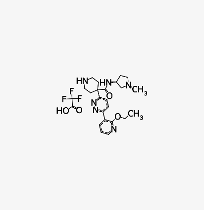 CCOc1ncccc1-c1ccc(C2(C(=O)N[C@H]3CCN(C)C3)CCNCC2)nn1.O=C(O)C(F)(F)F